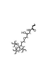 C=CC(=O)NCC(O)COCCC[Si](O[Si](C)(C)C)(O[Si](C)(C)C)O[Si](C)(C)C